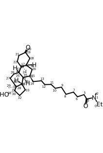 CCN(C)C(=O)CCCCCCCCCC[C@@H]1C[C@H]2CC(=O)CC[C@]2(C)[C@H]2CC[C@]3(C)[C@@H](O)CC[C@H]3[C@H]12